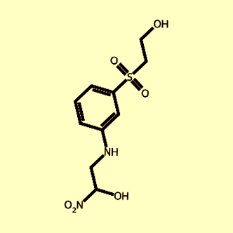 O=[N+]([O-])C(O)CNc1cccc(S(=O)(=O)CCO)c1